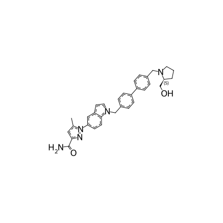 Cc1cc(C(N)=O)nn1-c1ccc2c(ccn2Cc2ccc(-c3ccc(CN4CCC[C@H]4CO)cc3)cc2)c1